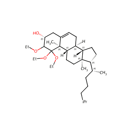 CCOC1[C@H](O)CC2=CC[C@H]3[C@@H]4CC[C@H]([C@H](C)CCCC(C)C)[C@@]4(C)CC[C@@H]3[C@@]2(C)C1(OCC)OCC